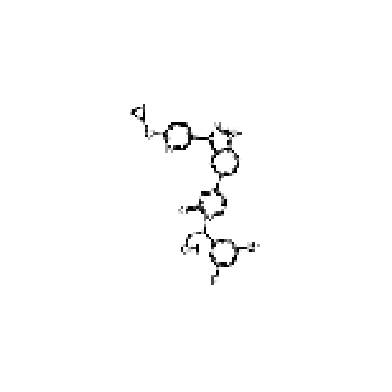 O=c1cc(-c2ccc3[nH]nc(-c4ccc(OC5CC5)nc4)c3c2)ccn1[C@H](CO)c1cc(F)cc(Br)c1